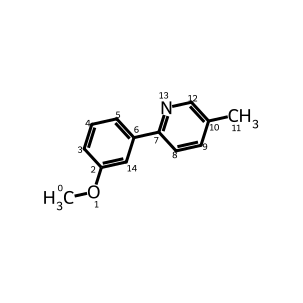 COc1cccc(-c2ccc(C)cn2)c1